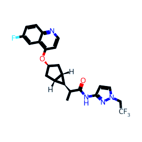 CC(C(=O)Nc1ccn(CC(F)(F)F)n1)[C@H]1[C@@H]2C[C@@H](Oc3ccnc4ccc(F)cc34)C[C@@H]21